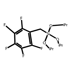 CC(C)O[Si](Cc1c(F)c(F)c(F)c(F)c1F)(OC(C)C)OC(C)C